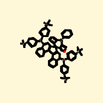 C[Si](C)(C)c1ccc(N(c2ccc([Si](C)(C)C)cc2)c2cc3c(c4ccccc24)-c2c(cc(N(c4ccc([Si](C)(C)C)cc4)c4ccc([Si](C)(C)C)cc4)c4ccccc24)C32c3ccccc3N(c3ccccc3)c3ccccc32)cc1